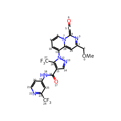 COCC1=NC(=C=O)N2C=CC=C(n3ncc(C(=O)Nc4ccnc(C(F)(F)F)c4)c3C(F)(F)F)C2=C1